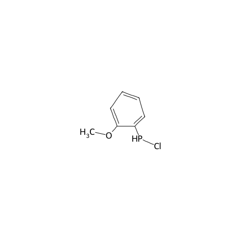 COc1ccccc1PCl